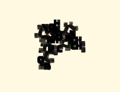 CC1CN(c2ncccc2C(=O)NS(=O)(=O)c2ncccc2Nc2ccc(-c3cnco3)cc2)C(C)(C)C1